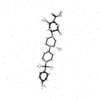 CCNC(=O)c1nc(Cl)c(N2CCN(C3CCN(C(C)(C)c4ccc(C)cc4)CC3)[C@@H](C)C2)nc1N